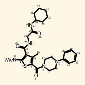 CNc1sc(C(=O)N2CCN(c3ccccc3)CC2)c(C)c1C(=O)NCC(=O)NC1CCCCC1